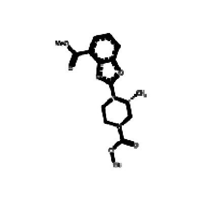 COC(=O)c1cccc2oc(N3CCN(C(=O)OC(C)(C)C)C[C@H]3C)nc12